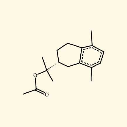 CC(=O)OC(C)(C)[C@@H]1CCc2c(C)ccc(C)c2C1